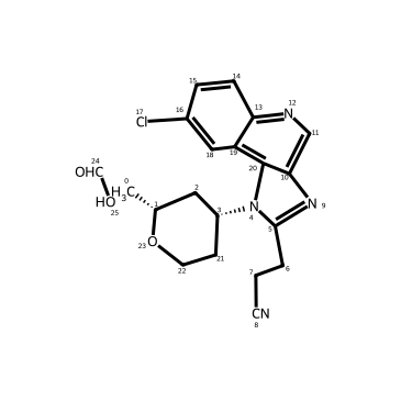 C[C@@H]1C[C@H](n2c(CCC#N)nc3cnc4ccc(Cl)cc4c32)CCO1.O=CO